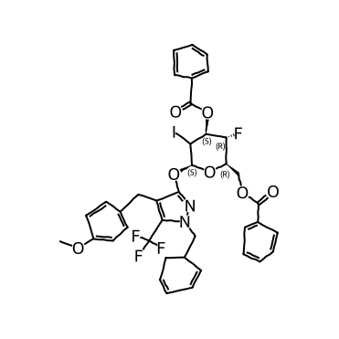 COc1ccc(Cc2c(O[C@@H]3O[C@H](COC(=O)c4ccccc4)[C@@H](F)[C@H](OC(=O)c4ccccc4)C3I)nn(CC3C=CC=CC3)c2C(F)(F)F)cc1